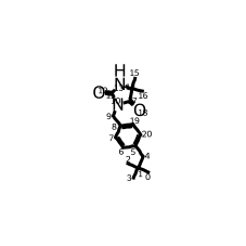 CC(C)(C)Cc1ccc(CN2C(=O)NC(C)(C)C2=O)cc1